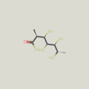 C[C@H](S)[C@H](S)[C@@H](S)[C@H](S)[C@H](C)C(=O)S